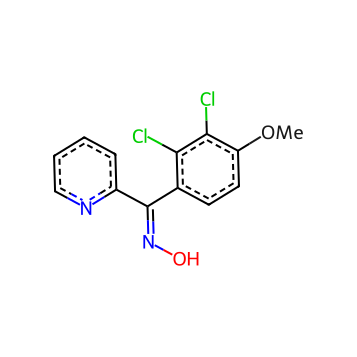 COc1ccc(/C(=N\O)c2ccccn2)c(Cl)c1Cl